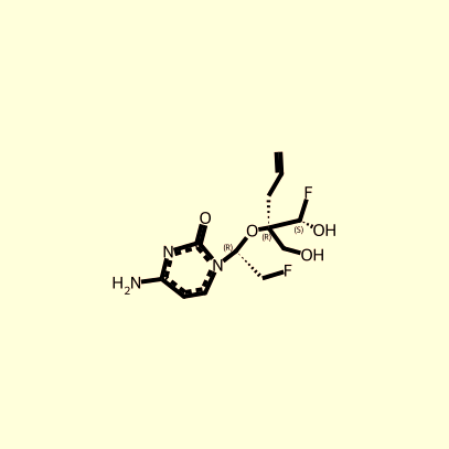 C=CC[C@](CO)(O[C@H](CF)n1ccc(N)nc1=O)[C@@H](O)F